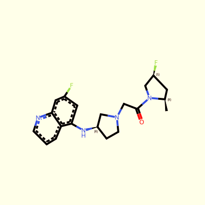 C[C@@H]1C[C@H](F)CN1C(=O)CN1CC[C@@H](Nc2cc(F)cc3ncccc23)C1